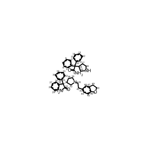 NC(=O)C(c1ccccc1)(c1ccccc1)C1CCNC1.NC(=O)C(c1ccccc1)(c1ccccc1)[C@@H]1CCN(CCc2ccc3c(c2)CCO3)C1